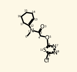 CN(C(=O)COc1nnc(Cl)s1)C1=CCCCC1